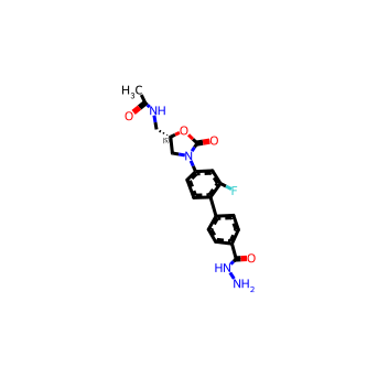 CC(=O)NC[C@H]1CN(c2ccc(-c3ccc(C(=O)NN)cc3)c(F)c2)C(=O)O1